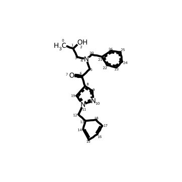 CC(O)CN(CC(=O)c1cnn(CC2C=CC=CC2)c1)Cc1ccccc1